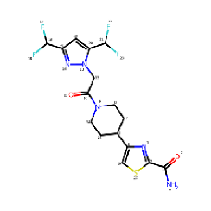 NC(=O)c1nc(C2CCN(C(=O)Cn3nc(C(F)F)cc3C(F)F)CC2)cs1